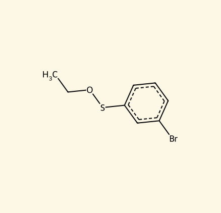 CCOSc1cccc(Br)c1